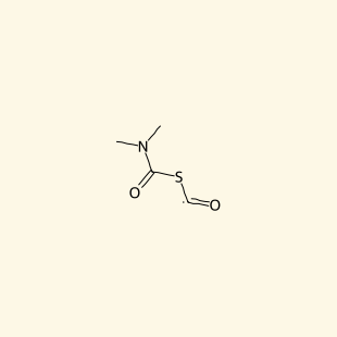 CN(C)C(=O)S[C]=O